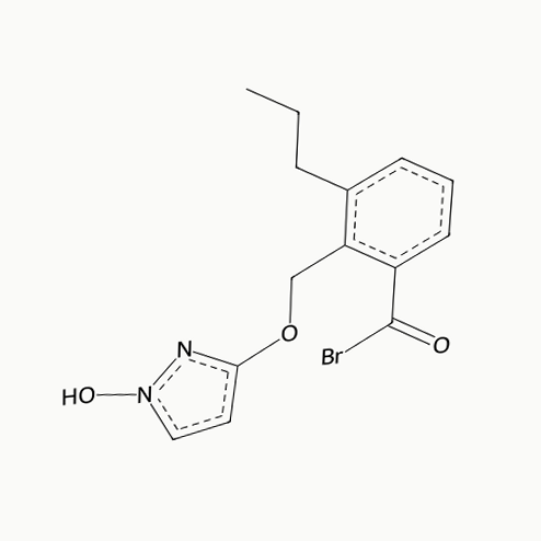 CCCc1cccc(C(=O)Br)c1COc1ccn(O)n1